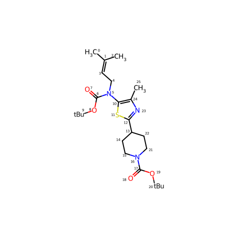 CC(C)=CCN(C(=O)OC(C)(C)C)c1sc(C2CCN(C(=O)OC(C)(C)C)CC2)nc1C